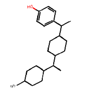 CCCC1CCC(C(C)C2CCC(C(C)c3ccc(O)cc3)CC2)CC1